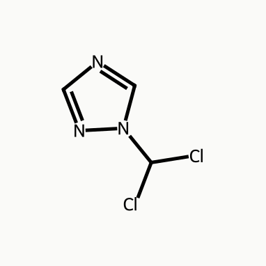 ClC(Cl)n1cncn1